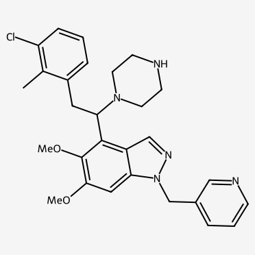 COc1cc2c(cnn2Cc2cccnc2)c(C(Cc2cccc(Cl)c2C)N2CCNCC2)c1OC